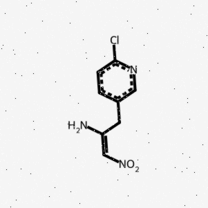 N/C(=C/[N+](=O)[O-])Cc1ccc(Cl)nc1